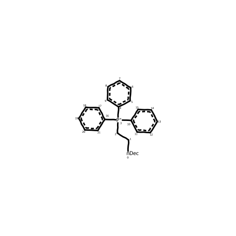 CCCCCCCCCCCC[P+](c1ccccc1)(c1ccccc1)c1ccccc1